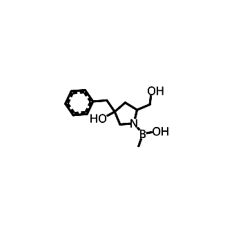 CB(O)N1CC(O)(Cc2ccccc2)CC1CO